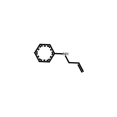 C=CCNc1cc[c]cc1